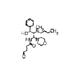 CCCCN(C)[C@@H](C(NC(=O)CCC=O)N1CCOCC1)[C@@H](O)c1ccccc1